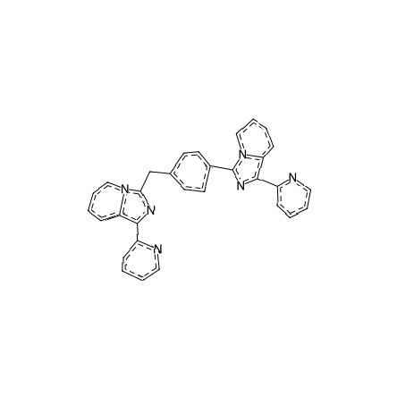 c1ccc(-c2nc(Cc3ccc(-c4nc(-c5ccccn5)c5ccccn45)cc3)n3ccccc23)nc1